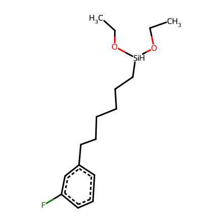 CCO[SiH](CCCCCCc1cccc(F)c1)OCC